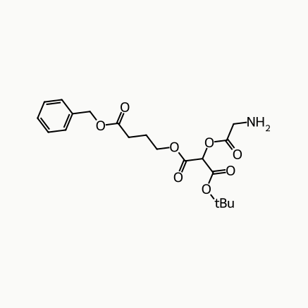 CC(C)(C)OC(=O)C(OC(=O)CN)C(=O)OCCCC(=O)OCc1ccccc1